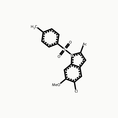 COc1cc2c(cc1Cl)cc(C(C)=O)n2S(=O)(=O)c1ccc(C)cc1